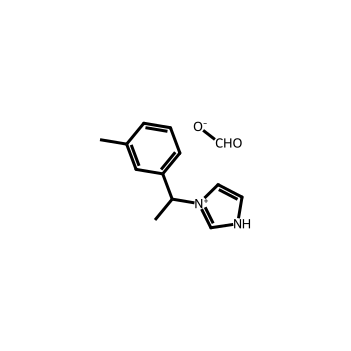 Cc1cccc(C(C)[n+]2cc[nH]c2)c1.O=C[O-]